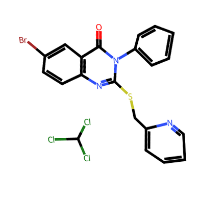 ClC(Cl)Cl.O=c1c2cc(Br)ccc2nc(SCc2ccccn2)n1-c1ccccc1